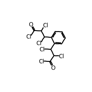 O=C(Cl)C(Cl)C(Cl)c1ccccc1C(Cl)C(Cl)C(=O)Cl